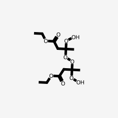 CCOC(=O)CC(C)(OO)OOC(C)(CC(=O)OCC)OO